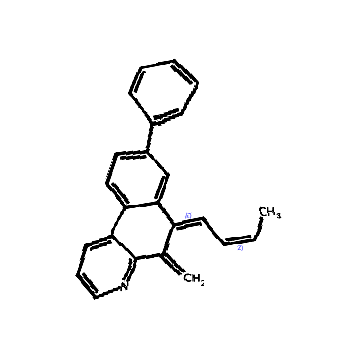 C=c1/c(=C\C=C/C)c2cc(-c3ccccc3)ccc2c2cccnc12